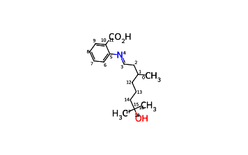 CC(CC=Nc1ccccc1C(=O)O)CCCC(C)(C)O